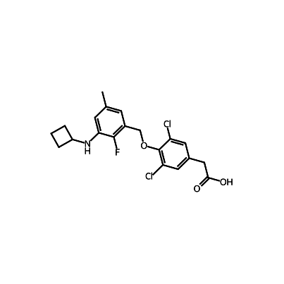 Cc1cc(COc2c(Cl)cc(CC(=O)O)cc2Cl)c(F)c(NC2CCC2)c1